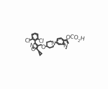 Cn1cc(OC(=O)O)c2ccc(N3CCC(OCc4c(-c5c(Cl)cccc5Cl)noc4C4CC4)CC3)cc21